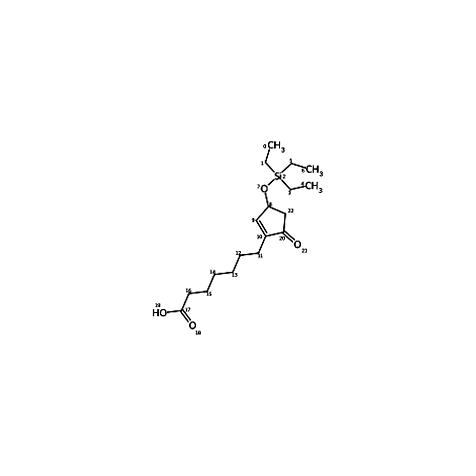 CC[Si](CC)(CC)OC1C=C(CCCCCCC(=O)O)C(=O)C1